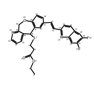 CCOC(=O)CCSC1c2cc(C=Cc3ccc4cc(F)c(F)cc4n3)ccc2OCc2ncccc21